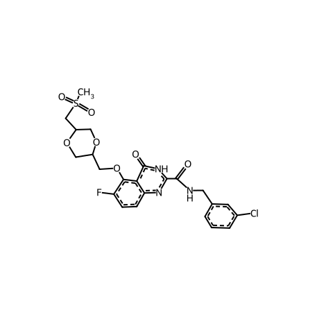 CS(=O)(=O)CC1COC(COc2c(F)ccc3nc(C(=O)NCc4cccc(Cl)c4)[nH]c(=O)c23)CO1